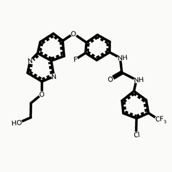 O=C(Nc1ccc(Oc2ccc3ncc(OCCO)nc3c2)c(F)c1)Nc1ccc(Cl)c(C(F)(F)F)c1